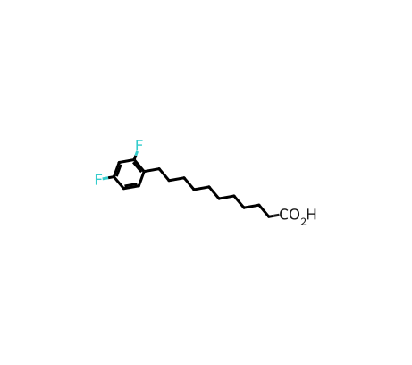 O=C(O)CCCCCCCCCCc1ccc(F)cc1F